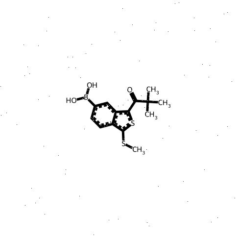 CSc1sc(C(=O)C(C)(C)C)c2cc(B(O)O)ccc12